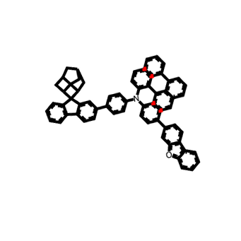 c1ccc(-c2cccc3cccc(-c4ccccc4N(c4ccc(-c5ccc6c(c5)C5(c7ccccc7-6)C6CC7CC8CC5C86C7)cc4)c4ccc(-c5ccc6c(c5)oc5ccccc56)cc4)c23)cc1